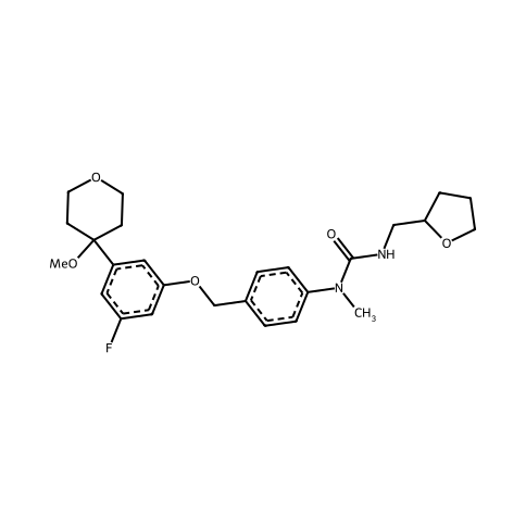 COC1(c2cc(F)cc(OCc3ccc(N(C)C(=O)NCC4CCCO4)cc3)c2)CCOCC1